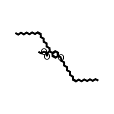 CCCCCCCC/C=C\CCCCCCCCOc1ccc(C(CCCCCC/C=C\CCCCCCCC)C(=O)OCC)cc1